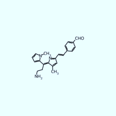 CC1=CC(/C=C/c2ccc(C=O)cc2)=NC/1=C(/CCN)c1cccn1C